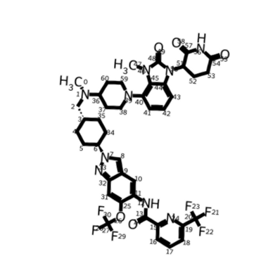 CN(C[C@H]1CC[C@H](n2cc3cc(NC(=O)c4cccc(C(F)(F)F)n4)c(OC(F)(F)F)cc3n2)CC1)C1CCN(c2cccc3c2n(C)c(=O)n3C2CCC(=O)NC2=O)CC1